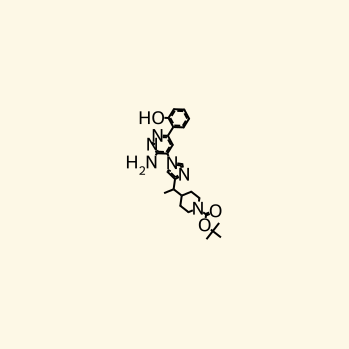 CC(c1cn(-c2cc(-c3ccccc3O)nnc2N)cn1)C1CCN(C(=O)OC(C)(C)C)CC1